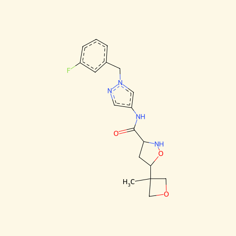 CC1(C2CC(C(=O)Nc3cnn(Cc4cccc(F)c4)c3)NO2)COC1